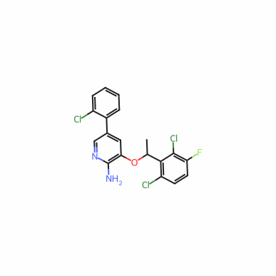 CC(Oc1cc(-c2ccccc2Cl)cnc1N)c1c(Cl)ccc(F)c1Cl